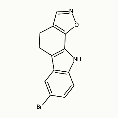 Brc1ccc2[nH]c3c(c2c1)CCc1cnoc1-3